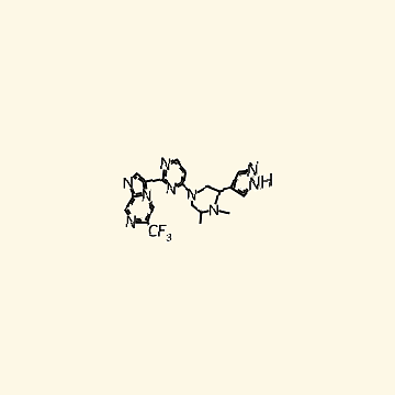 CC1CN(c2ccnc(-c3cnc4cnc(C(F)(F)F)cn34)n2)CC(c2cn[nH]c2)N1C